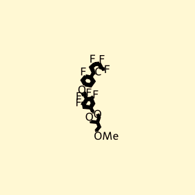 COCCC1COC(c2cc(F)c(C(F)(F)Oc3ccc(-c4cc(F)c(F)c(F)c4)c(F)c3)c(F)c2)OC1